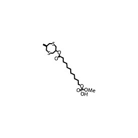 C=C1CSCC(OC(=O)CCCCCCCCCCOP(=O)(O)OC)CSC1